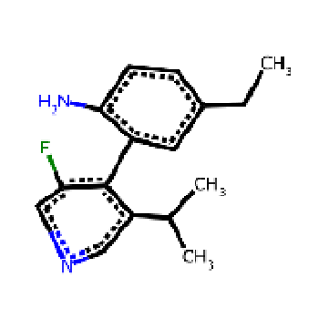 CCc1ccc(N)c(-c2c(F)cncc2C(C)C)c1